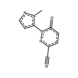 Cn1nccc1-n1nc(C#N)ccc1=O